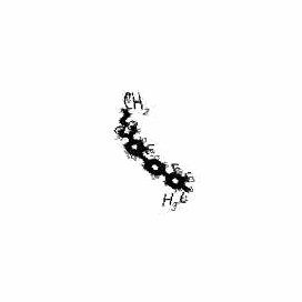 C=CCCC1OCC(c2ccc(-c3ccc(-c4ccc(CC)c(F)c4F)cc3)c(F)c2)CO1